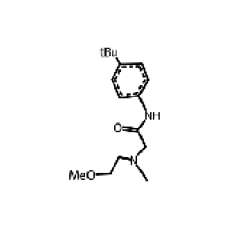 COCCN(C)CC(=O)Nc1ccc(C(C)(C)C)cc1